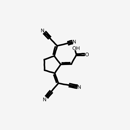 N#CC(C#N)=C1CCC(=C(C#N)C#N)C1=CC(=O)O